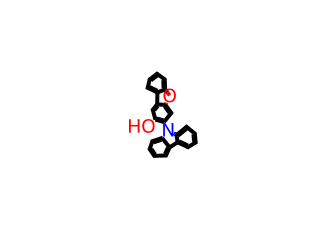 Oc1cc2c(cc1-n1c3ccccc3c3ccccc31)oc1ccccc12